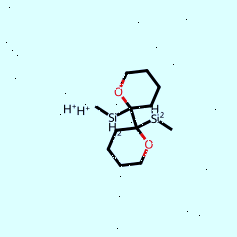 C[SiH2]C1(C2([SiH2]C)CCCCO2)CCCCO1.[H+].[H+]